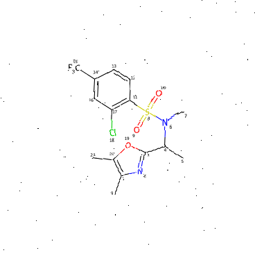 Cc1nc(C(C)N(C)S(=O)(=O)c2ccc(C(F)(F)F)cc2Cl)oc1C